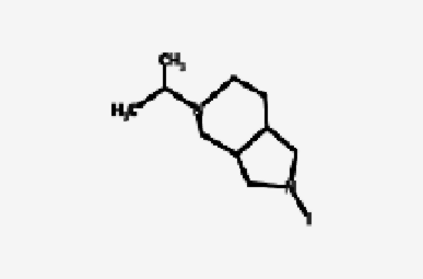 CC(C)N1CCC2CN(I)CC2C1